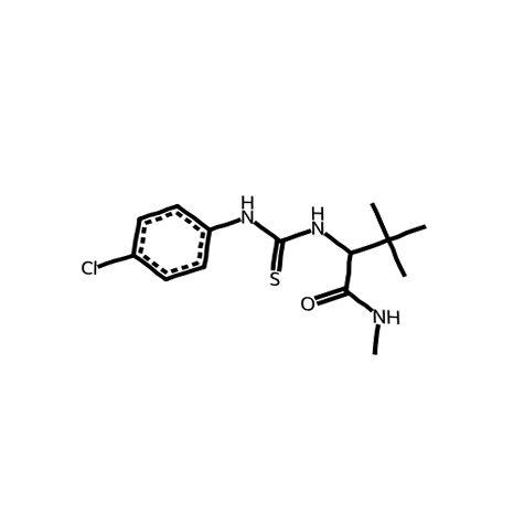 CNC(=O)C(NC(=S)Nc1ccc(Cl)cc1)C(C)(C)C